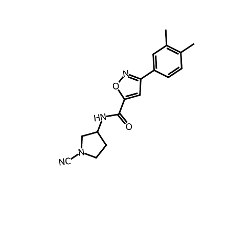 Cc1ccc(-c2cc(C(=O)NC3CCN(C#N)C3)on2)cc1C